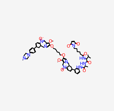 COc1c(OCCCCCOc2cn3c(c2OC)C=[N+]([O-])C2=CC=C(c4cccc(NC(=O)C(C)NC(=O)C(NC(=O)CCCCCN5C(=O)C=CC5=O)C(C)C)c4)CC2C3)cn2c1C=[N+]([O-])C1=CC=C(c3ccc(N4CCN(C)CC4)cc3)CC1C2